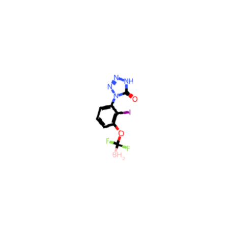 BC(F)(F)Oc1cccc(-n2nn[nH]c2=O)c1I